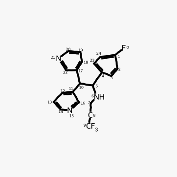 Fc1ccc(C(NCCC(F)(F)F)C(c2cccnc2)c2cccnc2)cc1